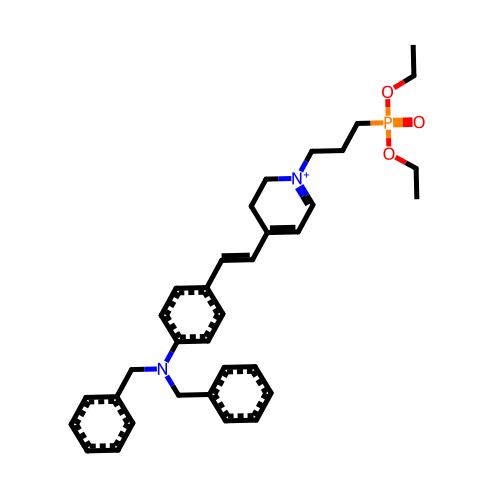 CCOP(=O)(CCC[N+]1=CC=C(C=Cc2ccc(N(Cc3ccccc3)Cc3ccccc3)cc2)CC1)OCC